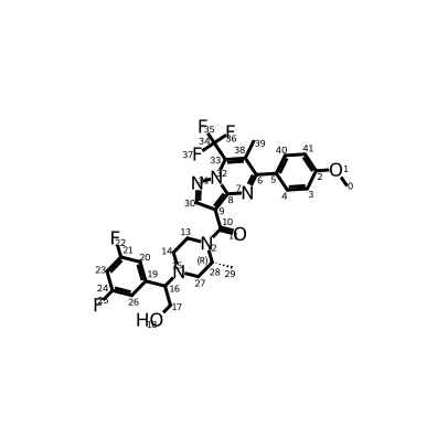 COc1ccc(-c2nc3c(C(=O)N4CCN(C(CO)c5cc(F)cc(F)c5)C[C@H]4C)cnn3c(C(F)(F)F)c2C)cc1